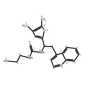 Cc1cc(C(Cc2ccnc3ccccc23)NC(=S)NCCO)oc1C